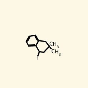 CC1(C)Cc2ccccc2C(I)C1